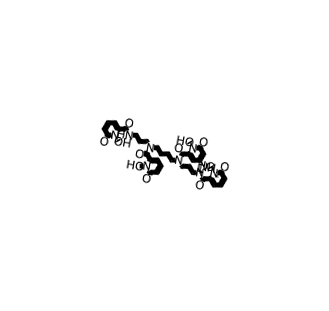 NN(CCCN(CCCCN(CCCNC(=O)c1cccc(=O)n1O)C(=O)c1cccc(=O)n1O)C(=O)c1cccc(=O)n1O)C(=O)c1cccc(=O)n1O